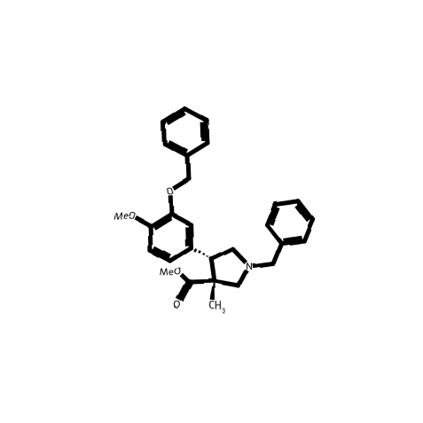 COC(=O)[C@@]1(C)CN(Cc2ccccc2)C[C@H]1c1ccc(OC)c(OCc2ccccc2)c1